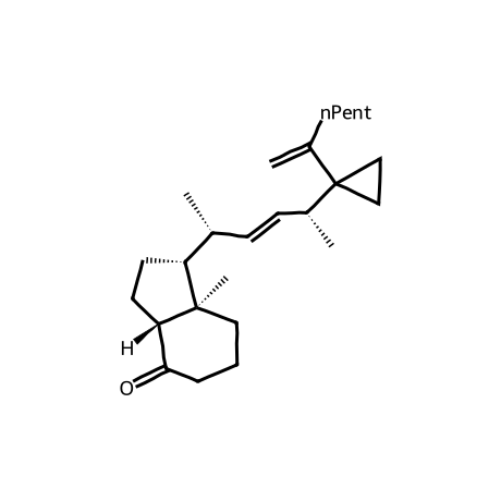 C=C(CCCCC)C1([C@H](C)/C=C/[C@@H](C)[C@H]2CC[C@H]3C(=O)CCC[C@]23C)CC1